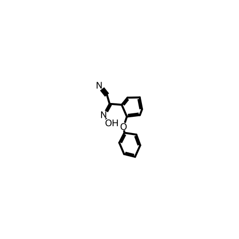 N#C/C(=N/O)c1ccccc1Oc1ccccc1